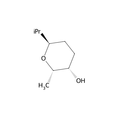 CC(C)[C@H]1CC[C@H](O)[C@H](C)O1